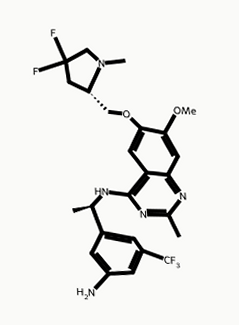 COc1cc2nc(C)nc(N[C@H](C)c3cc(N)cc(C(F)(F)F)c3)c2cc1OC[C@@H]1CC(F)(F)CN1C